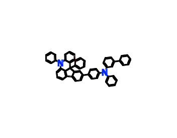 c1ccc(-c2cccc(N(c3ccccc3)c3ccc(-c4ccc5c(c4)C4(c6ccccc6)c6ccccc6N(c6ccccc6)c6cccc-5c64)cc3)c2)cc1